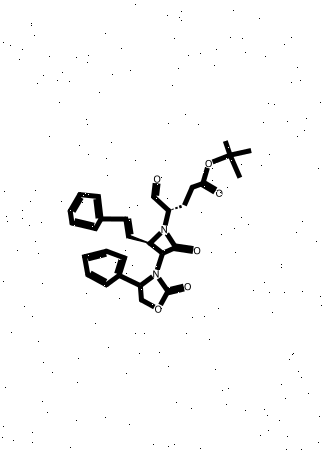 CC(C)(C)OC(=O)CC[C@@H](C=O)N1C(=O)C(N2C(=O)OCC2c2ccccc2)[C@H]1/C=C/c1ccccc1